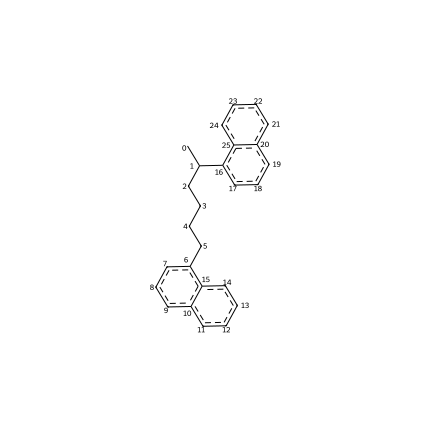 CC(CCCCc1cccc2ccccc12)c1cccc2ccccc12